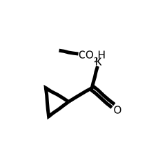 CC(=O)O.O=[C]([K])C1CC1